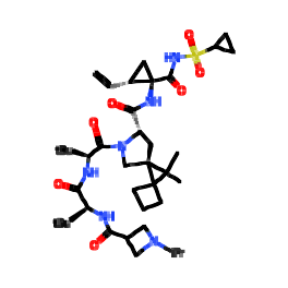 C=C[C@@H]1C[C@]1(NC(=O)[C@@H]1C[C@@]2(CN1C(=O)[C@@H](NC(=O)[C@@H](NC(=O)C1CN(C(C)C)C1)C(C)(C)C)C(C)(C)C)C(C)(C)C21CCC1)C(=O)NS(=O)(=O)C1CC1